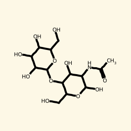 CC(=O)NC1C(O)OC(CO)C(OC2OC(CO)C(O)C(O)C2O)C1O